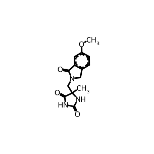 COc1ccc2c(c1)C(=O)N(CC1(C)NC(=O)NC1=O)C2